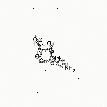 COC(=O)Nc1ccc2c(c1)NC(=O)C(C)CCC[C@H](NC(=O)[C@H]1CC[C@H](CN)CC1)c1cc-2c(C(C)=O)s1